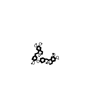 COc1cc2c(cc1OC)C(Cc1ccc(Oc3cc(CC4c5cc(OC)c(OC)cc5CCN4C)ccc3OC)cc1)N(C)CC2